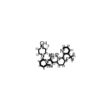 CN1CCN(c2cccc3nc(C4CCCC(c5ncccc5C(F)(F)F)N4C)c(Cl)n23)CC1